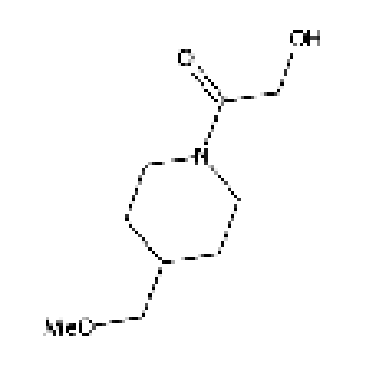 COCC1CCN(C(=O)CO)CC1